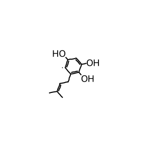 CC(C)=CCc1[c]c(O)cc(O)c1O